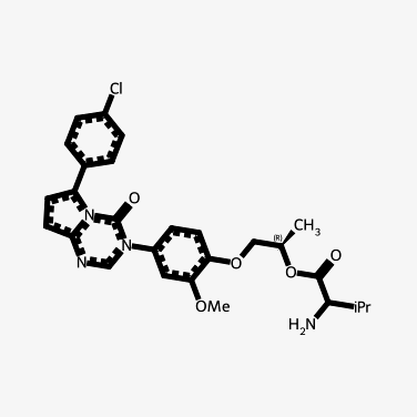 COc1cc(-n2cnc3ccc(-c4ccc(Cl)cc4)n3c2=O)ccc1OC[C@@H](C)OC(=O)C(N)C(C)C